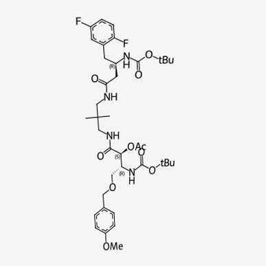 COc1ccc(COC[C@@H](NC(=O)OC(C)(C)C)[C@H](OC(C)=O)C(=O)NCC(C)(C)CNC(=O)C[C@@H](Cc2cc(F)ccc2F)NC(=O)OC(C)(C)C)cc1